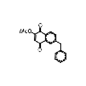 COC1=CC(=O)c2cc(Cc3ccccc3)ccc2C1=O